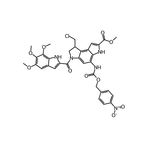 COC(=O)c1cc2c3c(cc(NC(=O)OCc4ccc([N+](=O)[O-])cc4)c2[nH]1)N(C(=O)c1cc2cc(OC)c(OC)c(OC)c2[nH]1)CC3CCl